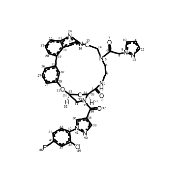 O=C1NCCN(C(=O)Cn2cccn2)CCn2cc3c(cccc3n2)-c2cccc(c2)O[C@H]2C[C@@H]1N(C(=O)c1cnn(-c3ccc(F)cc3Cl)c1)C2